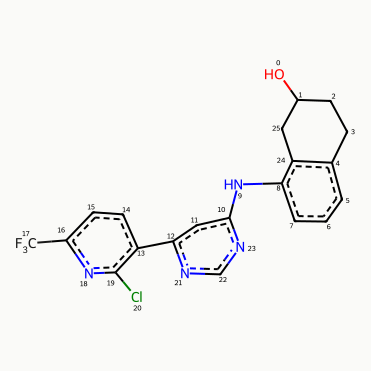 OC1CCc2cccc(Nc3cc(-c4ccc(C(F)(F)F)nc4Cl)ncn3)c2C1